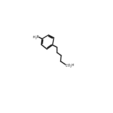 Bc1ccc(CCCCC(=O)O)cc1